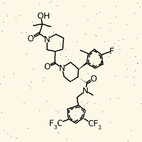 Cc1cc(F)ccc1[C@@H]1CN(C(=O)C2CCCN(C(=O)C(C)(C)O)C2)CC[C@H]1C(=O)N(C)Cc1cc(C(F)(F)F)cc(C(F)(F)F)c1